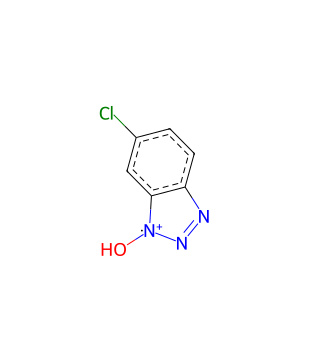 O[N+]1N=Nc2ccc(Cl)cc21